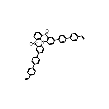 C=Cc1ccc(-c2ccc(-c3ccc4c(c3)[S+]([O-])c3cccc5c3N4c3ccc(-c4ccc(-c6ccc(C=C)cc6)cc4)cc3[S+]5[O-])cc2)cc1